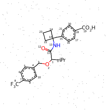 CC(C)C(OCc1ccc(C(F)(F)F)cc1)C(=O)NC1(c2ccc(C(=O)O)cc2)CCC1